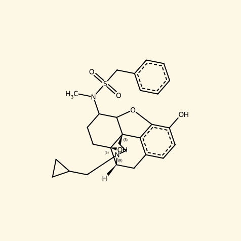 CN(C1CC[C@@]2(O)[C@H]3Cc4ccc(O)c5c4[C@@]2(CCN3CC2CC2)C1O5)S(=O)(=O)Cc1ccccc1